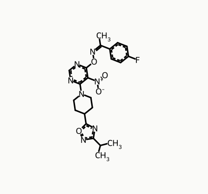 CC(=NOc1ncnc(N2CCC(c3nc(C(C)C)no3)CC2)c1[N+](=O)[O-])c1ccc(F)cc1